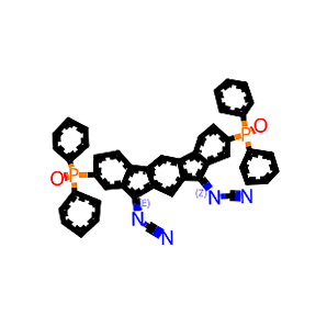 N#C/N=c1\c2cc(P(=O)(c3ccccc3)c3ccccc3)ccc2c2cc3c(cc12)/c(=N\C#N)c1cc(P(=O)(c2ccccc2)c2ccccc2)ccc13